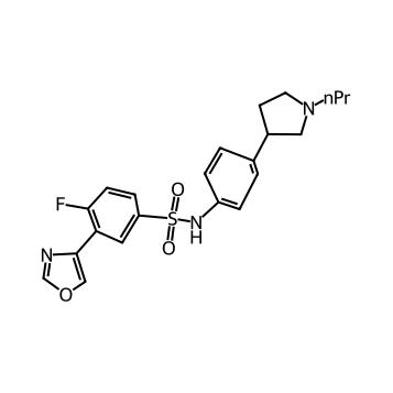 CCCN1CCC(c2ccc(NS(=O)(=O)c3ccc(F)c(-c4cocn4)c3)cc2)C1